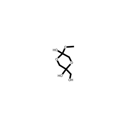 COC1(O)COC(O)(CO)CO1